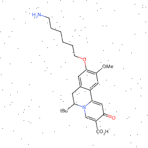 COc1cc2c(cc1OCCCCCCN)CC(C(C)(C)C)n1cc(C(=O)O)c(=O)cc1-2